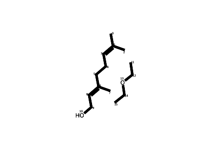 CC(C)=CCC/C(C)=C/CO.CCOCC